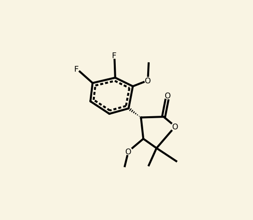 COc1c([C@@H]2C(=O)OC(C)(C)C2OC)ccc(F)c1F